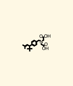 CC(C)=CC(c1ccc(CN(CC(=O)O)CC(=O)O)cc1)C(C)(C)C